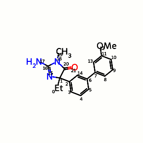 CCC1(c2cccc(-c3cccc(OC)c3)c2)N=C(N)N(C)C1=O